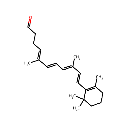 CC(C=CC1=C(C)CCCC1(C)C)=CC=CC(C)=CCC[C]=O